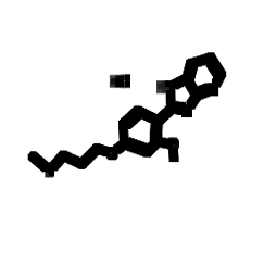 COc1cc(OCCCSC)ccc1-c1nc2ncccc2[nH]1.Cl